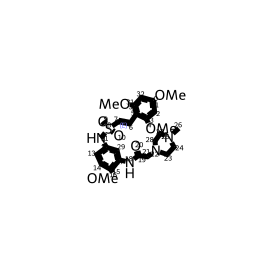 COc1cc(OC)c(/C=C/S(=O)(=O)Nc2ccc(OC)c(NC(=O)CN3CCN(C)CC3)c2)c(OC)c1